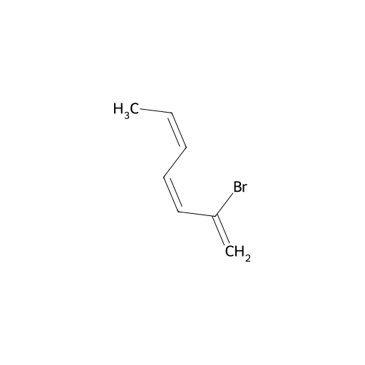 C=C(Br)/C=C\C=C/C